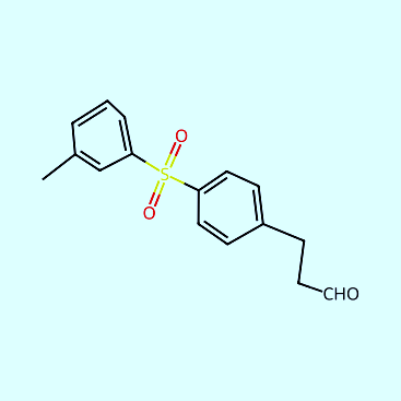 Cc1cccc(S(=O)(=O)c2ccc(CCC=O)cc2)c1